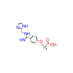 C[C@@H](COc1ccc(C(=N)NCc2ncc[nH]2)cc1)C(=O)O